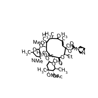 CC[C@H]1OC(=O)[C@H](C)[C@@H](O[C@H]2C[C@@](C)(OC)[C@@H](OC(C)=O)[C@H](C)O2)[C@H](C)[C@@H](O[C@@H]2O[C@H](C)C[C@H](NC)[C@H]2OC(C)=O)[C@](C)(OC)C[C@@H](C)C(=O)/C(C)=C/[C@]1(C)OC(=O)n1ccnc1